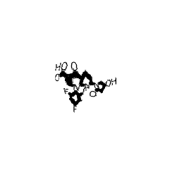 O=C(O)c1cn(-c2c(F)cc(F)cc2F)c2nc(N3C[C@@H](O)CC3=O)ccc2c1=O